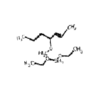 CC=CC(CCC)OC.CCO[SiH2]OCC